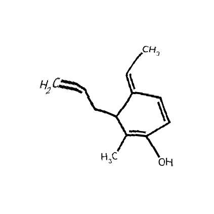 C=CCC1C(=CC)C=CC(O)=C1C